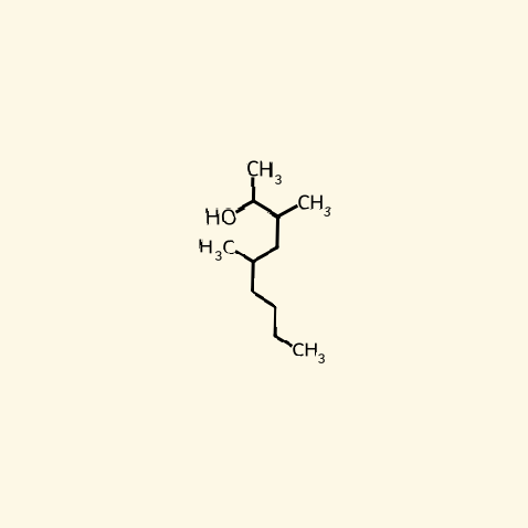 CCCCC(C)CC(C)C(C)O